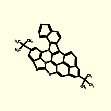 CC(C)(C)c1cc2ccc3c4c5c6c7c(cc(c1)c2c37)oc1nc2cc(C(C)(C)C)cc(c2n16)B5c1c-4ccc2ccccc12